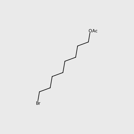 CC(=O)OCCCCCCCCBr